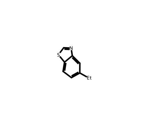 CCc1ccc2scnc2c1